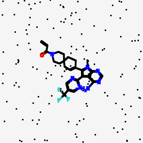 C=CC(=O)N1CCC2(CC=C(c3c(-c4ncc(C(F)(F)F)cn4)c4c(N)ncnc4n3C)CC2)CC1